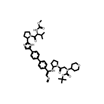 C=N/C=C(\NC1CCCN1C(=O)CN(C(=O)OC(C)(C)C)C1CCOCC1)c1ccc(-c2ccc(-c3cnc(C4CCCN4C(=O)[C@@H](NC(=O)OC)C(C)C)[nH]3)cc2)cc1